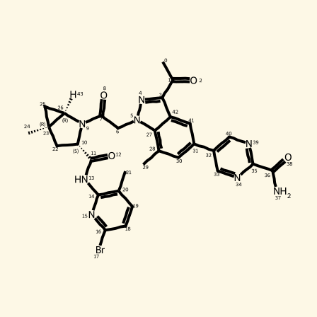 CC(=O)c1nn(CC(=O)N2[C@H](C(=O)Nc3nc(Br)ccc3C)C[C@@]3(C)C[C@@H]23)c2c(C)cc(-c3cnc(C(N)=O)nc3)cc12